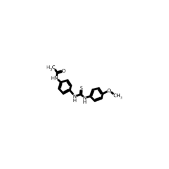 COc1ccc(NC(=S)Nc2ccc(NC(C)=O)cc2)cc1